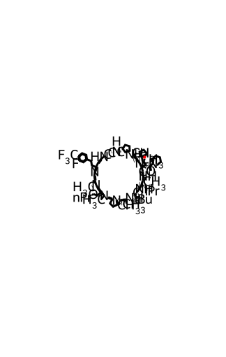 CCCOCC1=CN(C)C=CN=C(CCc2ccc(C(F)(F)F)c(F)c2)C=CNCCNCC2(CCCC2)NC(C)[C@H](C2CCCC2)N2C(C)[C@H](C(=O)N3CCCCC3)C2CNC(C)[C@H](CC(C)C)NC[C@H]([C@@H](C)CC)NC(C)[C@H](C)N2CCCC2=CN1C